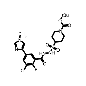 Cn1cnc(-c2cc(Cl)c(F)c(C(=O)NNS(=O)(=O)C3CCN(C(=O)OC(C)(C)C)CC3)c2)c1